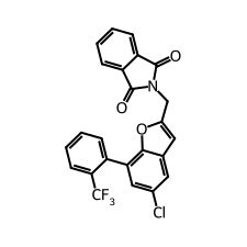 O=C1c2ccccc2C(=O)N1Cc1cc2cc(Cl)cc(-c3ccccc3C(F)(F)F)c2o1